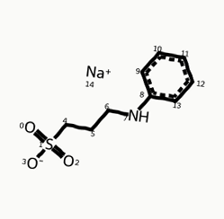 O=S(=O)([O-])CCCNc1ccccc1.[Na+]